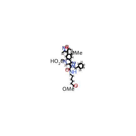 COC(=O)CCCCCNC(=O)c1c2c(nn1Cc1ccccc1)-c1cc(OC)c(-c3c(C)noc3C)cc1N(C(=O)O)C2